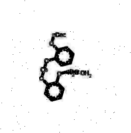 CCCCCCCCCCOc1ccccc1[O][Co][O]c1ccccc1OCCCCCCCCCC.O.O